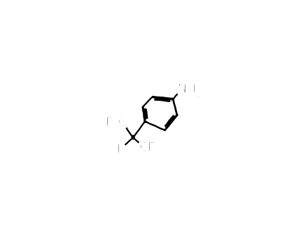 Nc1[c]cc(C(F)(C(F)(F)F)C(F)(F)F)cc1